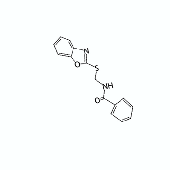 O=C(NCSc1nc2ccccc2o1)c1ccccc1